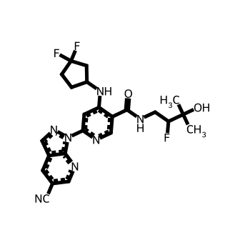 CC(C)(O)C(F)CNC(=O)c1cnc(-n2ncc3cc(C#N)cnc32)cc1NC1CCC(F)(F)C1